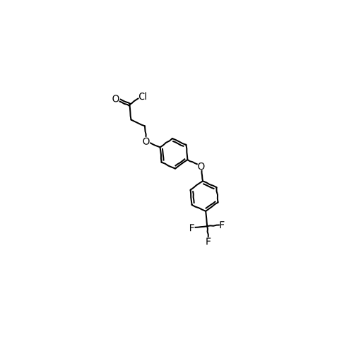 O=C(Cl)CCOc1ccc(Oc2ccc(C(F)(F)F)cc2)cc1